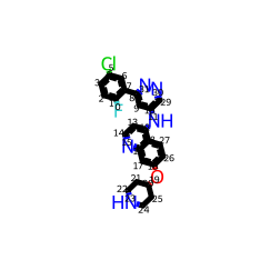 Fc1ccc(Cl)cc1-c1cc(Nc2ccnc3cc(OC4CCNCC4)ccc23)cnn1